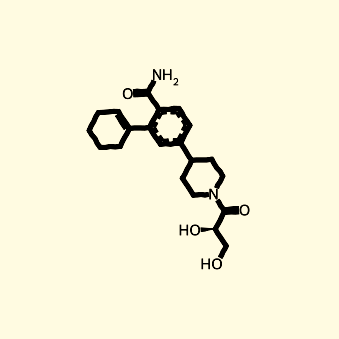 NC(=O)c1ccc(C2CCN(C(=O)[C@H](O)CO)CC2)cc1C1=CCCCC1